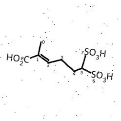 CC(=CCCC(S(=O)(=O)O)S(=O)(=O)O)C(=O)O